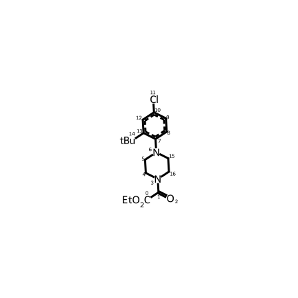 CCOC(=O)C(=O)N1CCN(c2ccc(Cl)cc2C(C)(C)C)CC1